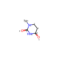 [2H]N1CCC(=O)NC1=O